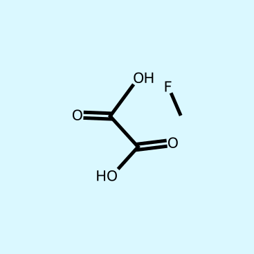 CF.O=C(O)C(=O)O